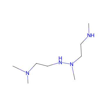 CNCCN(C)NCCN(C)C